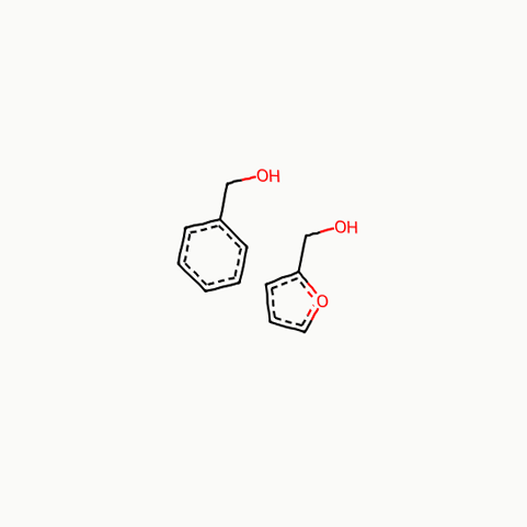 OCc1ccccc1.OCc1ccco1